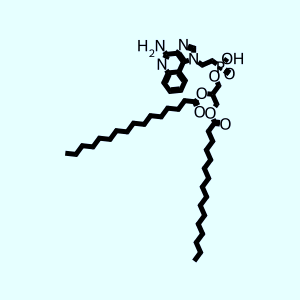 CCCCCCCCCCCCCCCC(=O)OCC(COP(=O)(O)CCn1cnc2c(N)nc3ccccc3c21)OC(=O)CCCCCCCCCCCCCCC